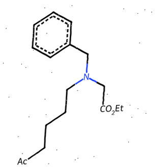 CCOC(=O)CN(CCCCC(C)=O)Cc1ccccc1